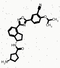 CC(C)Oc1ccc(-c2nc(-c3cccc4c3CC[C@@H]4NC(=O)C3CC[C@@H](N)C3)no2)cc1C#N